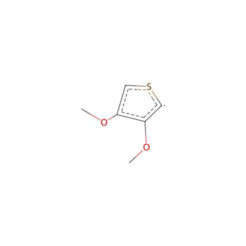 COc1[c]scc1OC